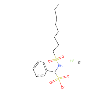 CCCCCCCCS(=O)(=O)NC(c1ccccc1)S(=O)(=O)[O-].F.[K+]